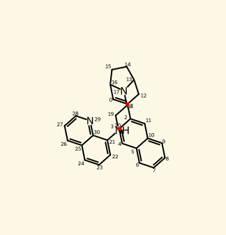 C1=C(c2ccc3ccccc3c2)CC2CCC1N2CCNc1cccc2cccnc12